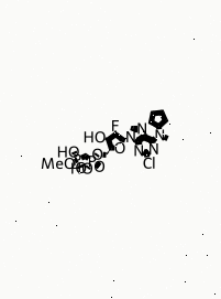 COP(=O)(O)CP(=O)(O)OC[C@H]1O[C@@H](n2cnc3c(N(C)C4CCCC4)nc(Cl)nc32)[C@@H](F)[C@@H]1O